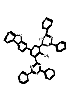 CC1=C(c2nc(C3=CCCC=C3)nc(C3=CC=CCC3)n2)C=C(c2ccc3c(c2)sc2ccccc23)CC1C1N=C(c2ccccc2)N=C(C2=CC=CCC2)N1